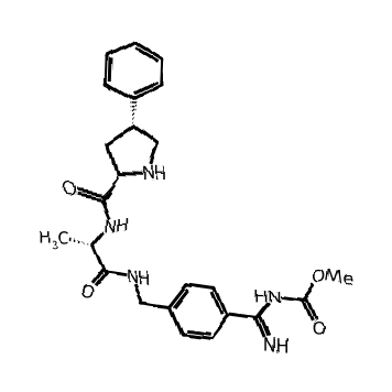 COC(=O)NC(=N)c1ccc(CNC(=O)[C@H](C)NC(=O)[C@H]2C[C@H](c3ccccc3)CN2)cc1